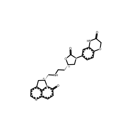 O=C1COc2ccc(N3C[C@H](CCNC[C@H]4Cc5ccnc6ccc(=O)n4c56)OC3=O)cc2N1